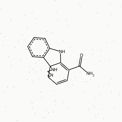 NC(=O)C1=C2Nc3ccccc3C23NCN=C3C=C1